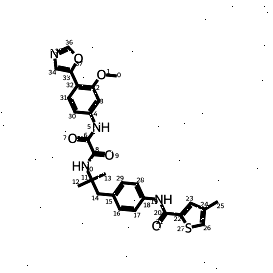 COc1cc(NC(=O)C(=O)NC(C)(C)Cc2ccc(NC(=O)c3cc(C)cs3)cc2)ccc1-c1cnco1